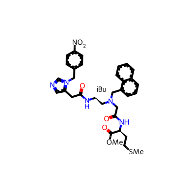 CC[C@H](C)[C@@H](CN(CC(=O)N[C@@H](CCSC)C(=O)OC)Cc1cccc2ccccc12)NC(=O)Cc1cncn1Cc1ccc([N+](=O)[O-])cc1